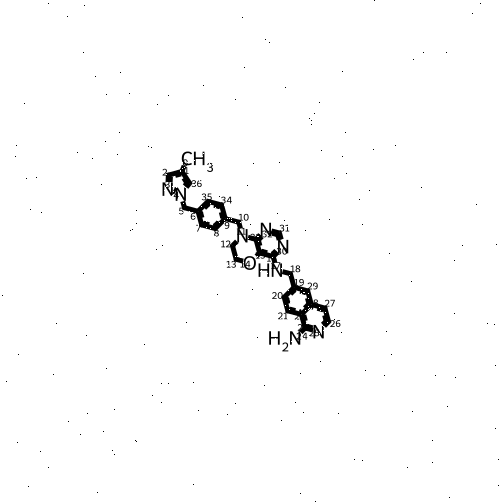 Cc1cnn(Cc2ccc(CN3CCOc4c(NCc5ccc6c(N)nccc6c5)ncnc43)cc2)c1